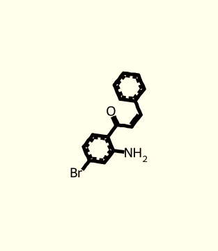 Nc1cc(Br)ccc1C(=O)/C=C\c1ccccc1